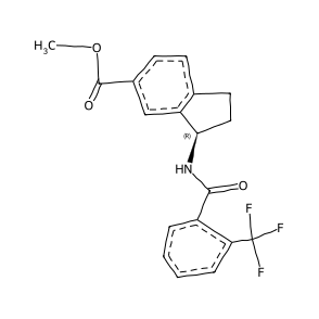 COC(=O)c1ccc2c(c1)[C@H](NC(=O)c1ccccc1C(F)(F)F)CC2